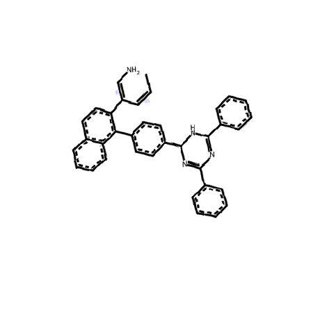 C/C=C\C(=C/N)c1ccc2ccccc2c1-c1ccc(C2N=C(c3ccccc3)N=C(c3ccccc3)N2)cc1